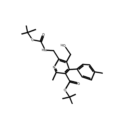 Cc1ccc(-c2c(CO)c(CNC(=O)OC(C)(C)C)nc(C)c2C(=O)OC(C)(C)C)cc1